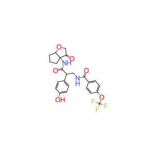 O=C(NCC(C(=O)NC12CCCC1OCC2=O)c1ccc(O)cc1)c1ccc(OC(F)(F)F)cc1